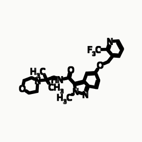 Cn1nc2ccc(OCc3cccnc3C(F)(F)F)cc2c1C(=O)NCC(C)(C)N1CCOCC1